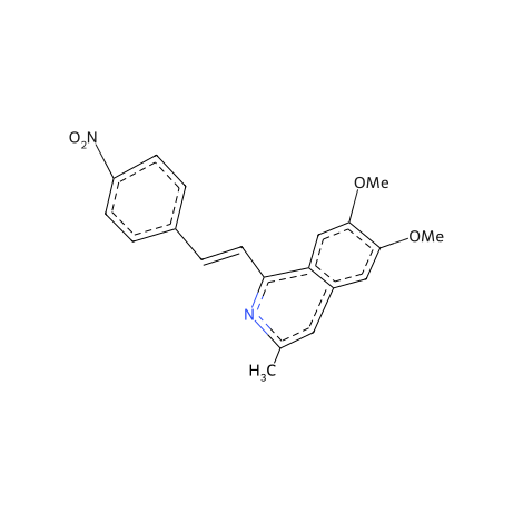 COc1cc2cc(C)nc(C=Cc3ccc([N+](=O)[O-])cc3)c2cc1OC